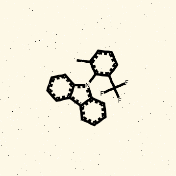 Cc1cccc(C(F)(F)F)c1-n1c2ccccc2c2ccccc21